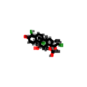 CCCCC(=O)O[C@]1(C(=O)CCl)[C@@H](C)C[C@H]2[C@@H]3CCC4=C(F)C(=O)C=C[C@]4(C)[C@@]3(Cl)[C@@H](O)C[C@@]21C